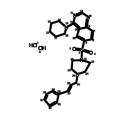 Cl.Cl.O=S(=O)(c1ccc2ncnc(N3CCCCC3)c2c1)N1CCN(CC=Cc2ccccc2)CC1